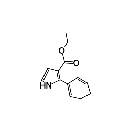 CCOC(=O)c1cc[nH]c1C1=CCCC=C1